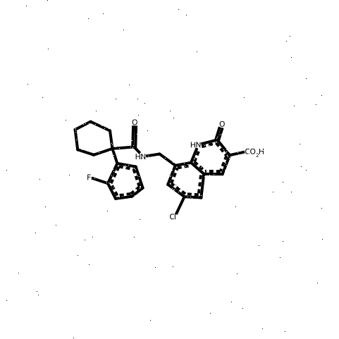 O=C(O)c1cc2cc(Cl)cc(CNC(=O)C3(c4ccccc4F)CCCCC3)c2[nH]c1=O